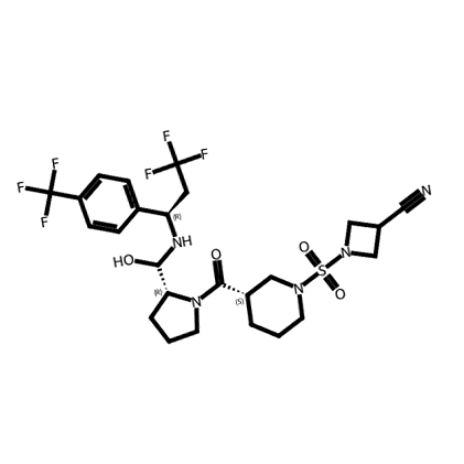 N#CC1CN(S(=O)(=O)N2CCC[C@H](C(=O)N3CCC[C@@H]3C(O)N[C@H](CC(F)(F)F)c3ccc(C(F)(F)F)cc3)C2)C1